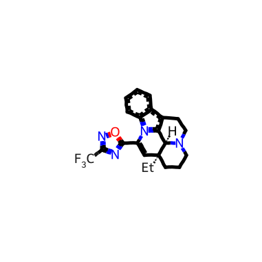 CC[C@@]12C=C(c3nc(C(F)(F)F)no3)n3c4c(c5ccccc53)CCN(CCC1)[C@H]42